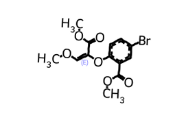 CO/C=C(/Oc1ccc(Br)cc1C(=O)OC)C(=O)OC